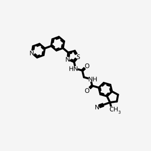 CC1(C#N)CCc2ccc(C(=O)NCC(=O)Nc3nc(-c4cccc(-c5ccncc5)c4)cs3)cc21